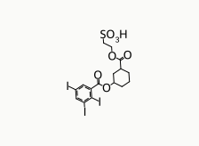 O=C(OC1CCCC(C(=O)OCCS(=O)(=O)O)C1)c1cc(I)cc(I)c1I